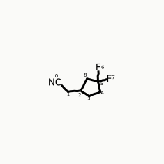 N#CCC1CCC(F)(F)C1